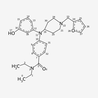 CCN(CC)C(=O)c1ccc(N(c2cccc(O)c2)C2CCN(Cc3ccco3)CC2)cc1